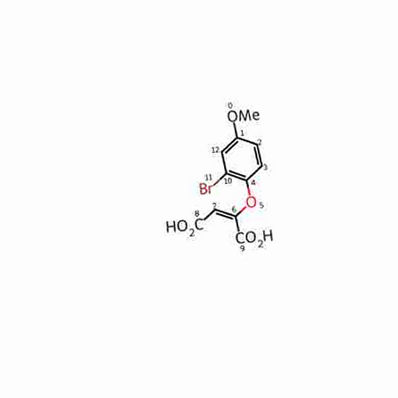 COc1ccc(OC(=CC(=O)O)C(=O)O)c(Br)c1